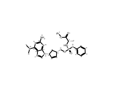 CC(C)OC(=O)[C@H](C)N[P@@](=O)(OC[C@@H]1C=C[C@H](n2cnc3c(N(C)C)nc(N)nc32)C1)Oc1ccccc1